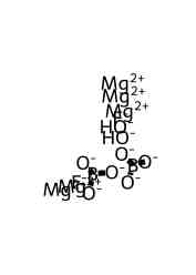 [F-].[F-].[Mg+2].[Mg+2].[Mg+2].[Mg+2].[Mg+2].[O-]B([O-])[O-].[O-]B([O-])[O-].[OH-].[OH-]